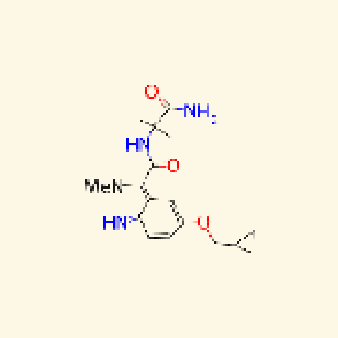 CN/C(C(=O)NC(C)(C)C(N)=O)=C1/C=C(OCC2CC2)C=CC1=N